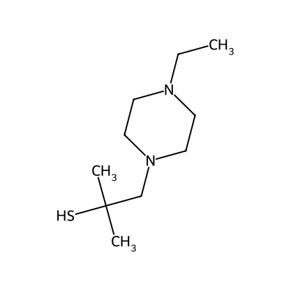 CCN1CCN(CC(C)(C)S)CC1